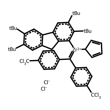 CC(C)(C)c1cc2c(cc1C(C)(C)C)-c1cc(C(C)(C)C)c(C(C)(C)C)[c]([Zr+2](=[C](c3ccc(C(Cl)(Cl)Cl)cc3)c3ccc(C(Cl)(Cl)Cl)cc3)[CH]3C=CC=C3)c1C2.[Cl-].[Cl-]